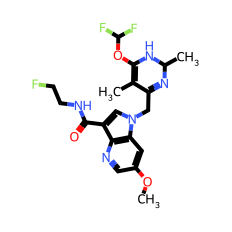 COc1cnc2c(C(=O)NCCF)cn(CC3=NC(C)NC(OC(F)F)=C3C)c2c1